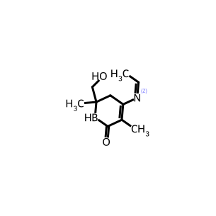 C/C=N\C1=C(C)C(=O)BC(C)(CO)C1